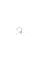 C[C@@]1(C=O)CCCN1C(=O)O